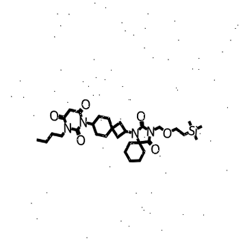 CCCCN1C(=O)CC(=O)N(C2CCC3(CC2)CC(N2C(=O)N(COCC[Si](C)(C)C)C(=O)C24CCCCC4)C3)C1=O